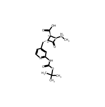 C[SiH2]N1C(=O)[C@H](Cc2ccnc(NC(=O)OC(C)(C)C)c2)[C@H]1C(=O)O